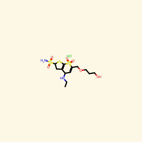 CCNC1C=C(COCCCO)S(=O)(=O)C2=C1CC(S(N)(=O)=O)S2.Cl